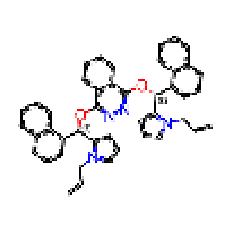 C=CCn1cccc1[C@H](Oc1nnc(O[C@H](c2cccc3ccccc23)c2cccn2CC=C)c2ccccc12)c1cccc2ccccc12